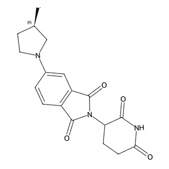 [CH2][C@@H]1CCN(c2ccc3c(c2)C(=O)N(C2CCC(=O)NC2=O)C3=O)C1